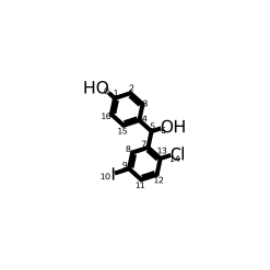 Oc1ccc(C(O)c2cc(I)ccc2Cl)cc1